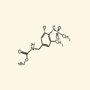 Cc1cc(CNC(=O)OC(C)(C)C)cc(Cl)c1NS(C)(=O)=O